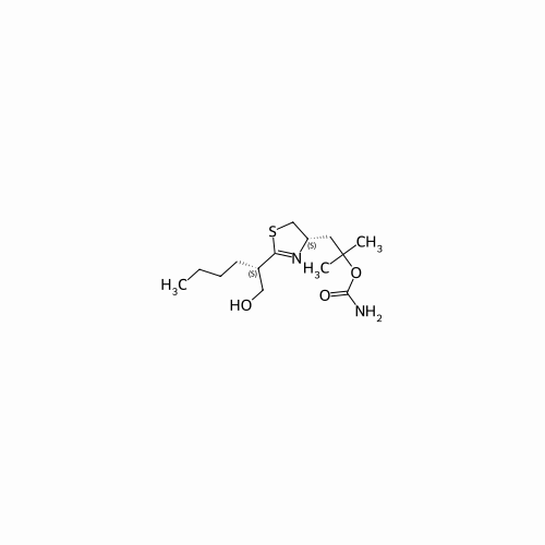 CCCC[C@@H](CO)C1=N[C@@H](CC(C)(C)OC(N)=O)CS1